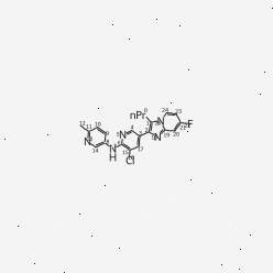 CCCc1c(-c2cnc(Nc3ccc(C)nc3)c(Cl)c2)nc2cc(F)ccn12